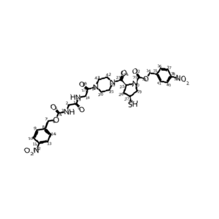 O=C(CNC(=O)OCc1ccc([N+](=O)[O-])cc1)NCC(=O)N1CCN(C(=O)[C@@H]2C[C@H](S)CN2C(=O)OCc2ccc([N+](=O)[O-])cc2)CC1